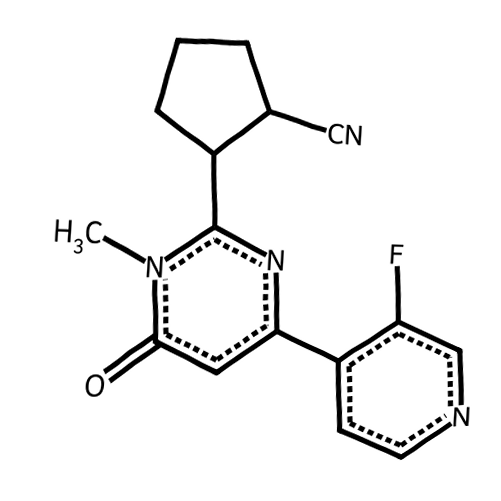 Cn1c(C2CCCC2C#N)nc(-c2ccncc2F)cc1=O